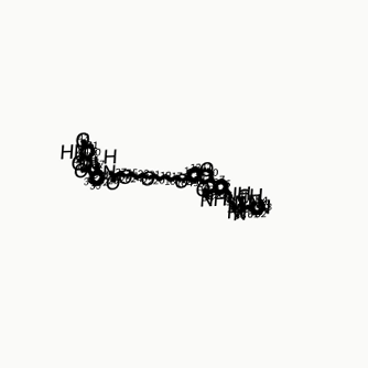 Cn1c(CNc2ccc(C3COc4ccc(OCCCCCOCCCOCC(=O)Nc5cccc6c5CN(C5CCC(=O)NC5=O)C6=O)cc4C3)c(C(N)=O)c2)nnc1-c1ccncn1